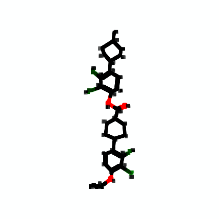 CCCCCOc1ccc(C2CCC(C(=O)Oc3ccc(C4CCC(C)CC4)c(F)c3F)CC2)c(F)c1F